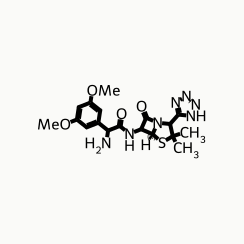 COc1cc(OC)cc(C(N)C(=O)NC2C(=O)N3C(c4nnn[nH]4)C(C)(C)S[C@H]23)c1